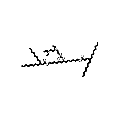 CCCCCCCCC(CCCCCCCC)CCC(=O)OCCCCCCC(CCCCCCOC(=O)CC(CCCCCCCC)CCCCCCCC)OC(=O)OCCN(CC)CCN(CC)CC